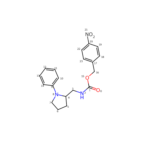 O=C(NCC1CCCN1c1ccccc1)OCc1ccc([N+](=O)[O-])cc1